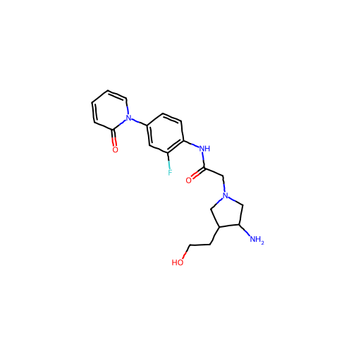 NC1CN(CC(=O)Nc2ccc(-n3ccccc3=O)cc2F)CC1CCO